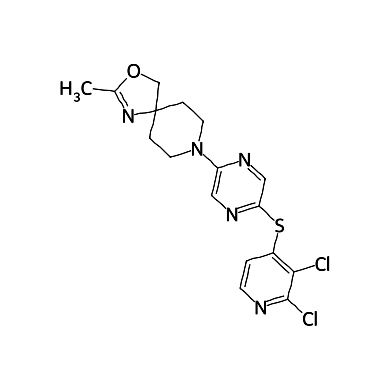 CC1=NC2(CCN(c3cnc(Sc4ccnc(Cl)c4Cl)cn3)CC2)CO1